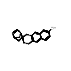 Cc1ccc2cc3c(cc2c1)CC1(CC3)CC2C=CC1C2